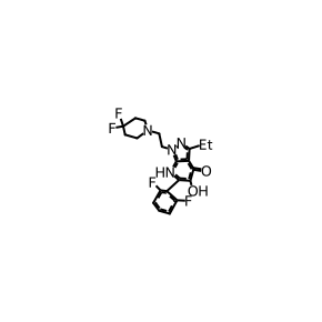 CCc1nn(CCN2CCC(F)(F)CC2)c2[nH]c(-c3c(F)cccc3F)c(O)c(=O)c12